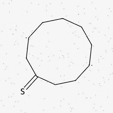 S=C1C[CH]CCCC[CH]CC1